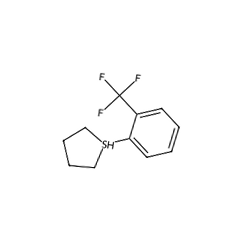 FC(F)(F)c1ccccc1[SH]1CCCC1